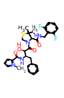 Cn1cccc1C(=O)NC(Cc1ccccc1)C(O)C(=O)N1CSC(C)(C)C1C(=O)NCc1c(F)cccc1F